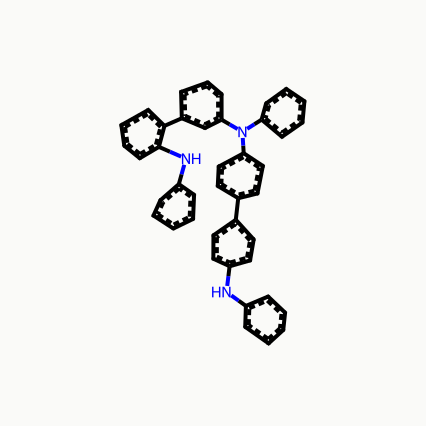 c1ccc(Nc2ccc(-c3ccc(N(c4ccccc4)c4cccc(-c5ccccc5Nc5ccccc5)c4)cc3)cc2)cc1